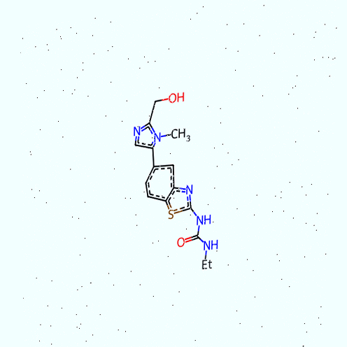 CCNC(=O)Nc1nc2cc(-c3cnc(CO)n3C)ccc2s1